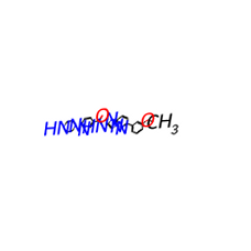 COc1cccc(-c2ccc3nc(NC(=O)c4ccc(N5CCNCC5)nc4)cn3n2)c1